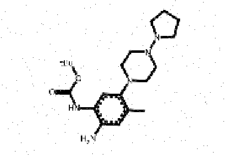 Cc1cc(N)c(NC(=O)OC(C)(C)C)cc1N1CCN(N2CCCC2)CC1